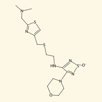 CN(C)Cc1nc(CSCCNc2n[s+]([O-])nc2N2CCOCC2)cs1